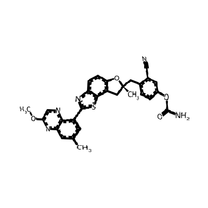 COc1cnc2c(-c3nc4ccc5c(c4s3)C[C@@](C)(Cc3ccc(OC(N)=O)cc3C#N)O5)cc(C)cc2n1